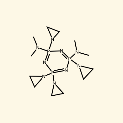 CN(C)P1(N2CC2)=NP(N(C)C)(N2CC2)=NP(N2CC2)(N2CC2)=N1